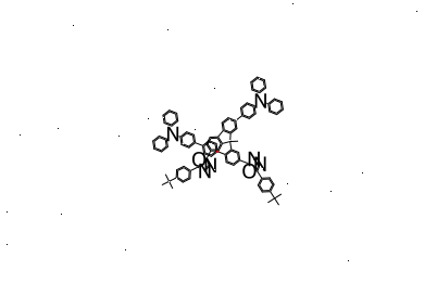 CC(C)(C)c1ccc(-c2nnc(-c3ccc(-c4ccc(-c5ccc(N(c6ccccc6)c6ccccc6)cc5)cc4)c(C4(C)c5cc(-c6ccc(N(c7ccccc7)c7ccccc7)cc6)ccc5-c5ccc(-c6nnc(-c7ccc(C(C)(C)C)cc7)o6)cc54)c3)o2)cc1